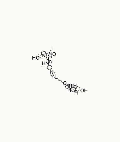 C=CCn1c(=O)c2cnc(Nc3ccc(N4CCN(CCCCCO[C@H]5CC[C@H]6[C@@H]7CC[C@H]8CC(O)CC[C@]8(C)[C@H]7CC[C@]56C)CC4)cc3)nc2n1-c1cccc(C(C)(C)O)n1